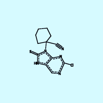 N#CC1(n2c(=S)[nH]c3cnc(Cl)nc32)CCCCC1